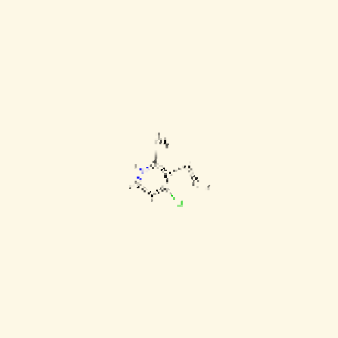 C=Cc1c(Cl)ccnc1C